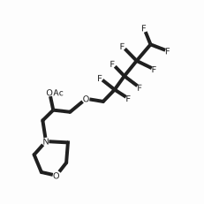 CC(=O)OC(COCC(F)(F)C(F)(F)C(F)(F)C(F)F)CN1CCOCC1